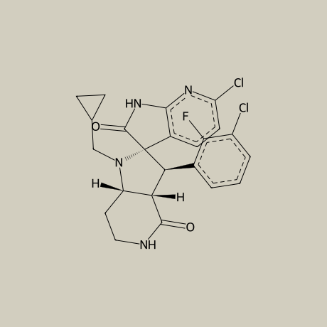 O=C1NCC[C@H]2[C@@H]1[C@H](c1cccc(Cl)c1F)[C@]1(C(=O)Nc3nc(Cl)ccc31)N2CC1CC1